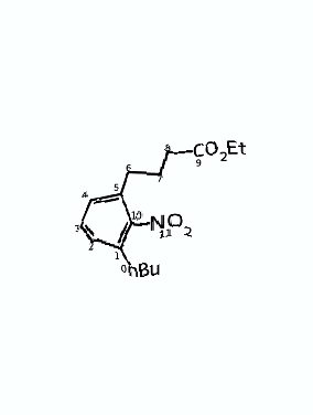 CCCCc1cccc(CCCC(=O)OCC)c1[N+](=O)[O-]